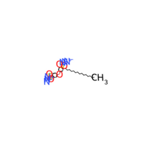 CCCCCCCCCCCCCCCc1cc(Oc2ccc(S(=O)(=O)N=[N+]=[N-])cc2)ccc1S(=O)(=O)N=[N+]=[N-]